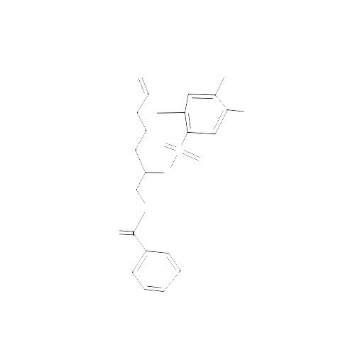 O=CCCCC(COC(=O)c1ccccc1)OS(=O)(=O)c1cc(Cl)c(Cl)cc1Cl